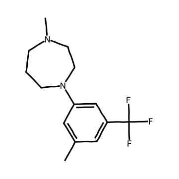 Cc1cc(N2CCCN(C)CC2)cc(C(F)(F)F)c1